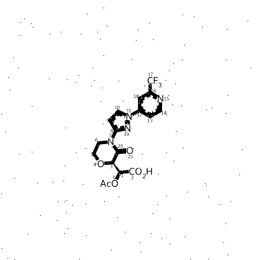 CC(=O)OC(C(=O)O)[C@H]1OCCN(c2ccn(-c3ccnc(C(F)(F)F)c3)n2)C1=O